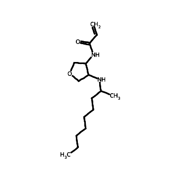 C=CC(=O)NC1COCC1NC(C)CCCCCCC